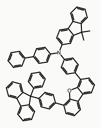 CC1(C)c2ccccc2-c2ccc(N(c3ccc(-c4ccccc4)cc3)c3ccc(-c4cccc5c4oc4c(-c6ccc(C7(c8ccccc8)c8ccccc8-c8ccccc87)cc6)cccc45)cc3)cc21